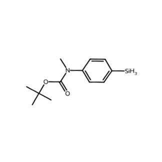 CN(C(=O)OC(C)(C)C)c1ccc([SiH3])cc1